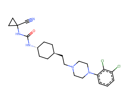 N#CC1(NC(=O)N[C@H]2CC[C@H](CCN3CCN(c4cccc(Cl)c4Cl)CC3)CC2)CC1